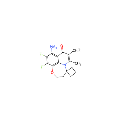 Cc1c(C=O)c(=O)c2c(N)c(F)c(F)c3c2n1C1(CCC1)CCO3